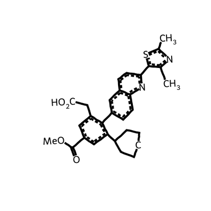 COC(=O)c1cc(CC(=O)O)c(-c2ccc3nc(-c4sc(C)nc4C)ccc3c2)c(C2CCCCC2)c1